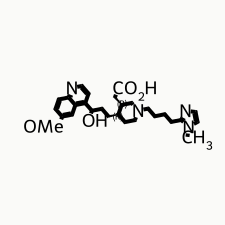 COc1ccc2nccc(C(O)CC[C@@H]3CCN(CCCCc4nccn4C)C[C@@H]3CC(=O)O)c2c1